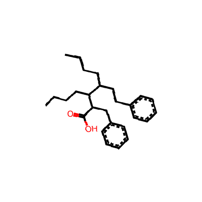 CCCCC(CCc1ccccc1)C(CCCC)C(Cc1ccccc1)C(=O)O